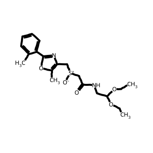 CCOC(CNC(=O)C[S+]([O-])Cc1nc(-c2ccccc2C)oc1C)OCC